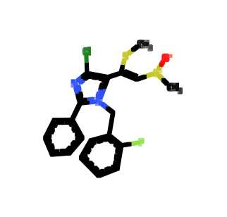 CSC(=C[S+](C)[O-])c1c(Cl)nc(-c2ccccc2)n1Cc1ccccc1F